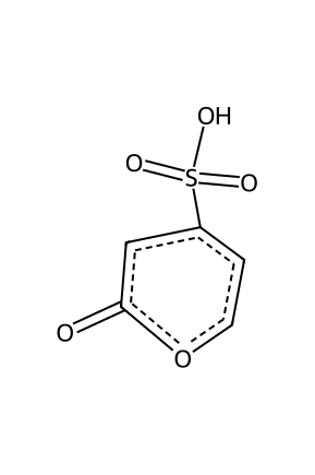 O=c1cc(S(=O)(=O)O)cco1